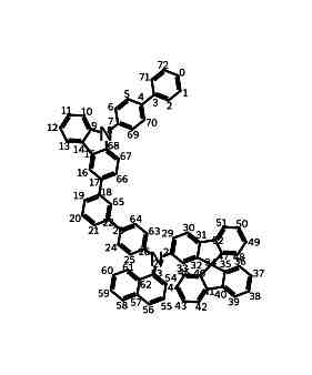 c1ccc(-c2ccc(-n3c4ccccc4c4cc(-c5cccc(-c6ccc(N(c7ccc8c(c7)C7(c9ccccc9-c9ccccc97)c7ccccc7-8)c7cccc8ccccc78)cc6)c5)ccc43)cc2)cc1